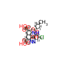 Cc1ccc(S(=O)(=O)Nc2cc(S(=O)(=O)O)cc3cc(S(=O)(=O)O)c(/N=N\c4cccc(Cl)c4)c(O)c23)cc1